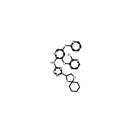 CCc1ncccc1Oc1cc(Sc2ccccn2)cnc1Nc1nc(C2COC3(CCCCC3)O2)ns1